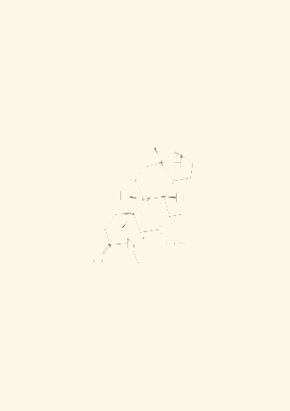 CC1C(O)C2N(C)C(=O)CC[C@]2(C)[C@@H]2CC[C@]3(C)CCC[C@H]3[C@H]12